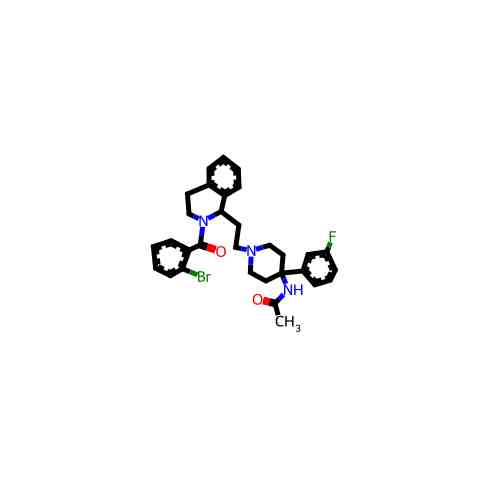 CC(=O)NC1(c2cccc(F)c2)CCN(CCC2c3ccccc3CCN2C(=O)c2ccccc2Br)CC1